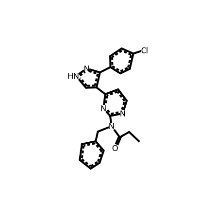 CCC(=O)N(Cc1ccccc1)c1nccc(-c2c[nH]nc2-c2ccc(Cl)cc2)n1